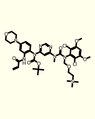 C=CC(=O)Nc1cc(N2CCOCC2)ccc1N(C(=O)OC(C)(C)C)c1cc(N(C)C(=O)N(COCC[Si](C)(C)C)c2c(Cl)c(OC)cc(OC)c2Cl)ncn1